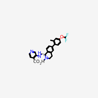 Cc1cc(OC(F)F)ccc1-c1ccc2c(c1)CCN(C)[C@@H]2CNc1cnccc1C(=O)O